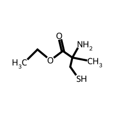 CCOC(=O)C(C)(N)CS